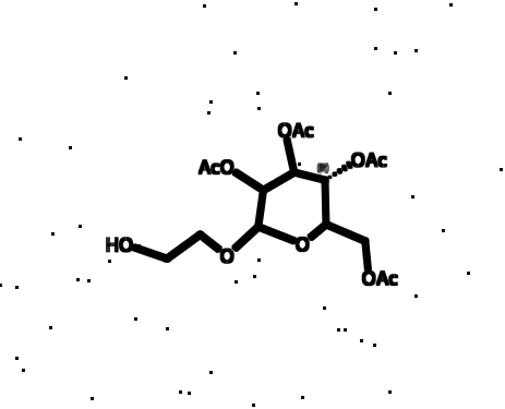 CC(=O)OCC1OC(OCCO)C(OC(C)=O)C(OC(C)=O)[C@@H]1OC(C)=O